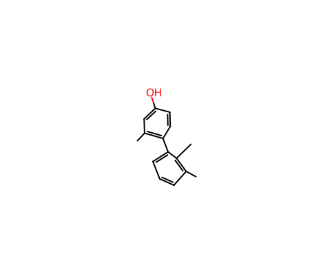 Cc1cc(O)ccc1-c1cccc(C)c1C